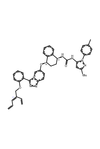 C=C/C=C(\C=C)COc1ccccc1-c1nnc2ccc(O[C@@H]3CC[C@H](NC(=O)Nc4cc(C(C)(C)C)nn4-c4ccc(C)cc4)c4ccccc43)cn12